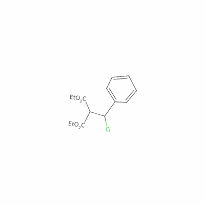 CCOC(=O)C(C(=O)OCC)C(Cl)c1ccccc1